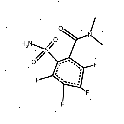 CN(C)C(=O)c1c(F)c(F)c(F)c(F)c1S(N)(=O)=O